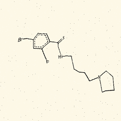 Fc1cc(Br)ccc1C(=S)NCCCCN1CCCC1